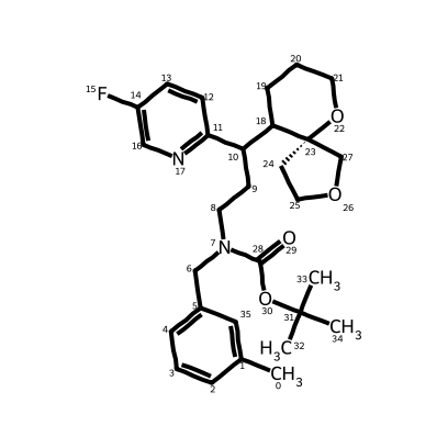 Cc1cccc(CN(CCC(c2ccc(F)cn2)C2CCCO[C@]23CCOC3)C(=O)OC(C)(C)C)c1